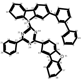 c1ccc(-c2cccc(-c3ccc4c5ccccc5n(-c5nc(-c6ccccc6)nc(-c6ccc7oc8ccccc8c7c6)n5)c4c3)c2)cc1